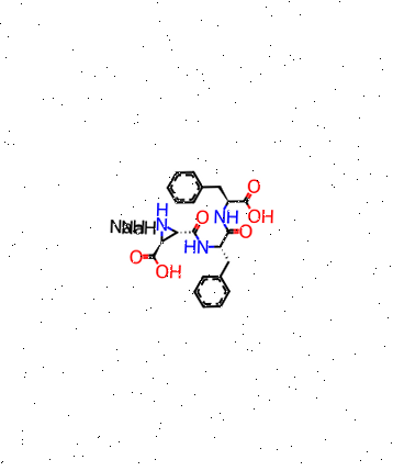 O=C(O)[C@H](Cc1ccccc1)NC(=O)[C@H](Cc1ccccc1)NC(=O)[C@H]1N[C@@H]1C(=O)O.[NaH].[NaH]